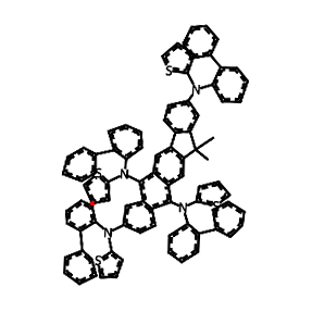 CC1(C)c2cc(N(c3cccs3)c3ccccc3-c3ccccc3)ccc2-c2cc3c(N(c4cccs4)c4ccccc4-c4ccccc4)c4cc(N(c5cccs5)c5ccccc5-c5ccccc5)ccc4c(N(c4cccs4)c4ccccc4-c4ccccc4)c3cc21